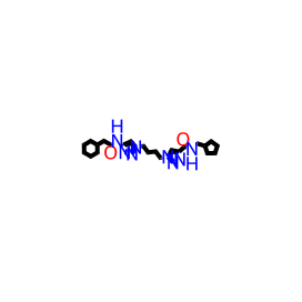 O=C(CC1CCCCC1)Nc1cn(CCCCn2cc(C(=O)NCC3CCCC3)nn2)nn1